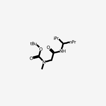 CCCC(NC(=O)CN(C)C(=O)OC(C)(C)C)C(C)C